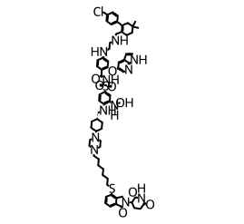 CC1(C)CCC(CNCCNc2ccc(C(=O)NS(=O)(=O)c3ccc(NC[C@H]4CC[C@H](N5CCN(CCCCCCCSc6cccc7c6CN(C6CCC(=O)NC6=O)C7=O)CC5)CC4)c(NO)c3)c(Oc3cnc4[nH]ccc4c3)c2)=C(c2ccc(Cl)cc2)C1